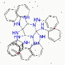 c1ccc(NC2N(Nc3ccccc3)C(Nc3ccccc3)(Nc3ccccc3)N(Nc3ccccc3)C(Nc3ccccc3)(Nc3ccccc3)C2(Nc2ccccc2)Nc2ccccc2)cc1